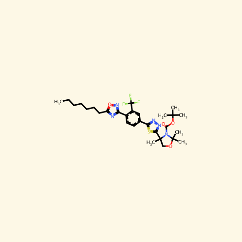 CCCCCCCc1nc(-c2ccc(-c3nnc(C4(C)COC(C)(C)N4C(=O)OC(C)(C)C)s3)cc2C(F)(F)F)no1